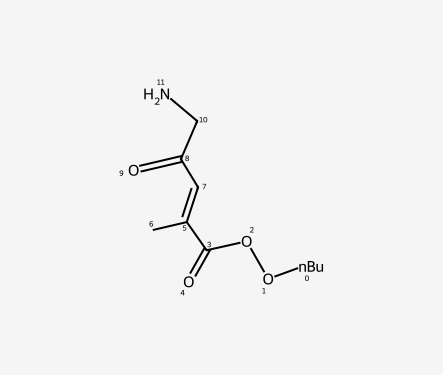 CCCCOOC(=O)C(C)=CC(=O)CN